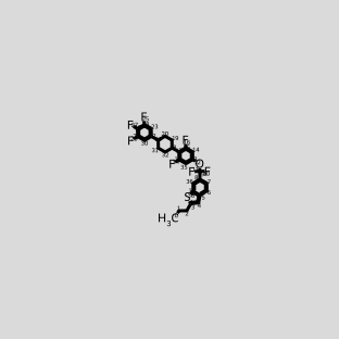 CCCc1cc2ccc(C(F)(F)Oc3cc(F)c(C4CCC(c5cc(F)c(F)c(F)c5)CC4)c(F)c3)cc2s1